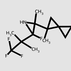 CC(C)(C(F)(F)F)C1(F)NC1(C)C1(C)CC12CC2